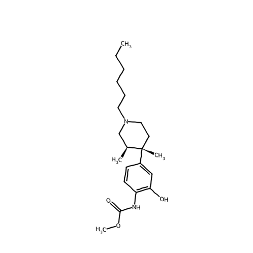 CCCCCCN1CC[C@](C)(c2ccc(NC(=O)OC)c(O)c2)[C@@H](C)C1